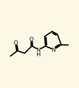 CC(=O)CC(=O)Nc1cccc(C)n1